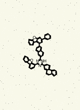 c1ccc(-c2cc(-c3ccc4cc(C5=NC(c6cccc7c6oc6ccccc67)=NC(c6ccc7c(ccc8ccccc87)c6)N5)ccc4c3)c3c(c2)oc2ccccc23)cc1